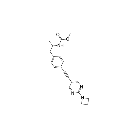 COC(=O)NC(C)Cc1ccc(C#Cc2cnc(N3CCC3)nc2)cc1